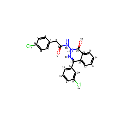 O=C(Cc1ccc(Cl)cc1)Nn1nc(-c2cccc(Cl)c2)c2ccccc2c1=O